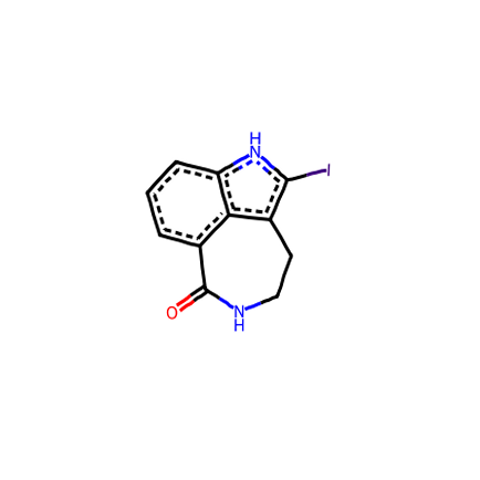 O=C1NCCc2c(I)[nH]c3cccc1c23